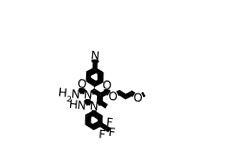 COCCCOC(=O)C1=C(C)N(c2cccc(C(F)(F)F)c2)C(=N)N(C(N)=O)[C@@H]1c1ccc(C#N)cc1